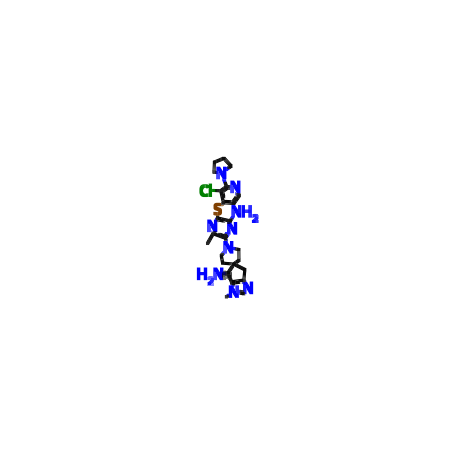 Cc1nc(Sc2ccnc(N3CCCC3)c2Cl)c(N)nc1N1CCC2(CC1)Cc1ncn(C)c1[C@H]2N